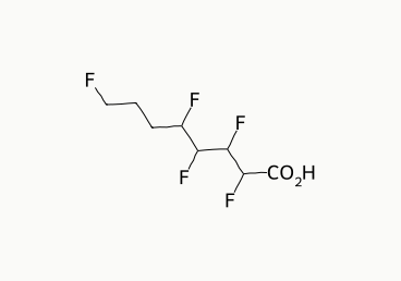 O=C(O)C(F)C(F)C(F)C(F)CCCF